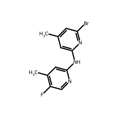 Cc1cc(Br)nc(Nc2cc(C)c(F)cn2)c1